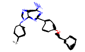 CC1CCC(n2cnc3c(N)nc(-c4ccc(OCc5ccccc5)cc4)nc32)CC1